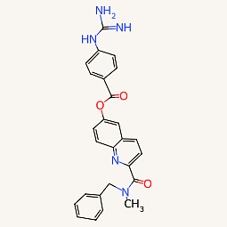 CN(Cc1ccccc1)C(=O)c1ccc2cc(OC(=O)c3ccc(NC(=N)N)cc3)ccc2n1